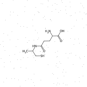 CC(CS)NC(=O)CCC(N)C(=O)O